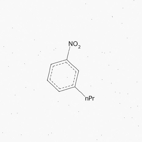 CCCc1cccc([N+](=O)[O-])c1